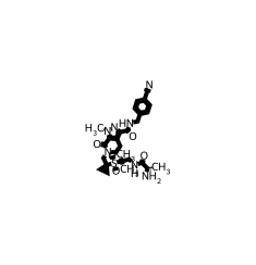 C[C@H](N)C(=O)NCC(C)(C)S(=O)(=O)C1(CN2CCc3c(C(=O)NCc4ccc(C#N)cc4)nn(C)c3C2=O)CC1